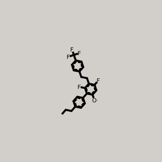 CCCc1ccc(-c2c([O])cc(F)c(CCc3ccc(C(F)(F)F)cc3)c2F)cc1